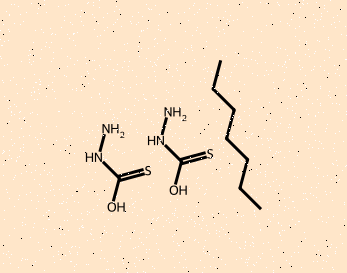 CCCCCCC.NNC(O)=S.NNC(O)=S